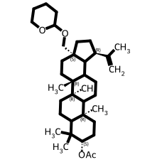 C=C(C)[C@@H]1CC[C@]2(COC3CCCCO3)CC[C@]3(C)C(CCC4[C@@]5(C)CC[C@H](OC(C)=O)C(C)(C)C5CC[C@]43C)C12